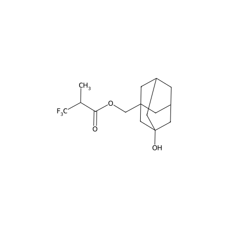 CC(C(=O)OCC12CC3CC(CC(O)(C3)C1)C2)C(F)(F)F